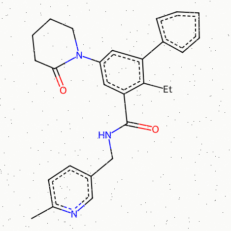 CCc1c(C(=O)NCc2ccc(C)nc2)cc(N2CCCCC2=O)cc1-c1ccccc1